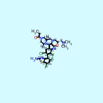 [2H]C1CN(C(=O)C=C)C[C@H]2CN3C[C@H](CN(C)C)Oc4nc5c(F)c(-c6c(F)cc(F)c7sc(N)nc67)c(Cl)cc5c(c43)N12